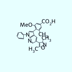 COc1cc(C(=O)O)cc(C)c1-c1cn(-c2ccccc2)c2ncc(-c3c(C)noc3C)cc12